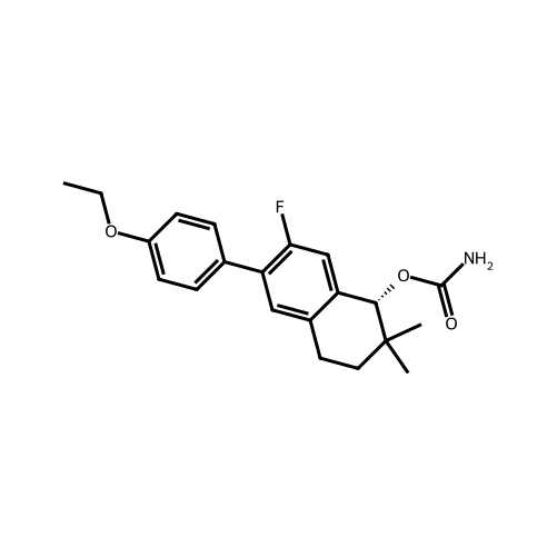 CCOc1ccc(-c2cc3c(cc2F)[C@H](OC(N)=O)C(C)(C)CC3)cc1